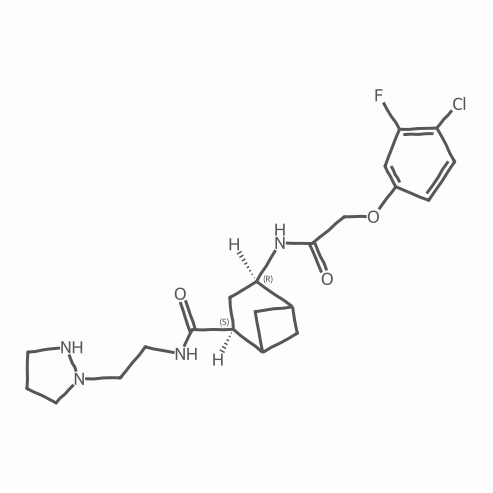 O=C(COc1ccc(Cl)c(F)c1)N[C@@H]1C[C@H](C(=O)NCCN2CCCN2)C2CC1C2